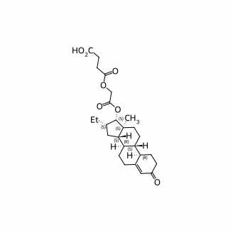 CC[C@H]1C[C@H]2[C@@H]3CCC4=CC(=O)CC[C@@H]4[C@H]3CC[C@]2(C)[C@H]1OC(=O)COC(=O)CCC(=O)O